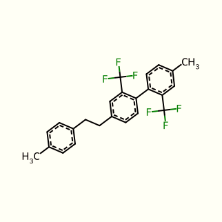 Cc1ccc(CCc2ccc(-c3ccc(C)cc3C(F)(F)F)c(C(F)(F)F)c2)cc1